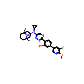 COc1ncc(-c2ccc(-c3ncc(N(C4CC4)[C@@H]4C[C@@H]5CCC[C@@](C)(C4)N5)nn3)c(O)c2)cc1F